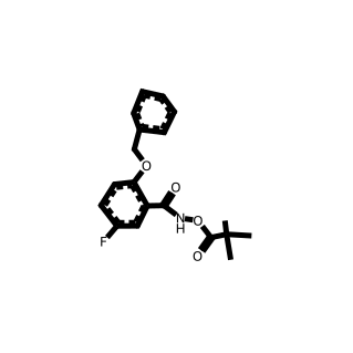 CC(C)(C)C(=O)ONC(=O)c1cc(F)ccc1OCc1ccccc1